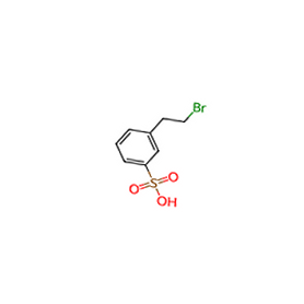 O=S(=O)(O)c1cccc(CCBr)c1